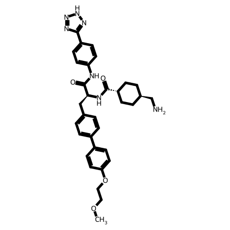 COCCOc1ccc(-c2ccc(C[C@H](NC(=O)[C@H]3CC[C@H](CN)CC3)C(=O)Nc3ccc(-c4nn[nH]n4)cc3)cc2)cc1